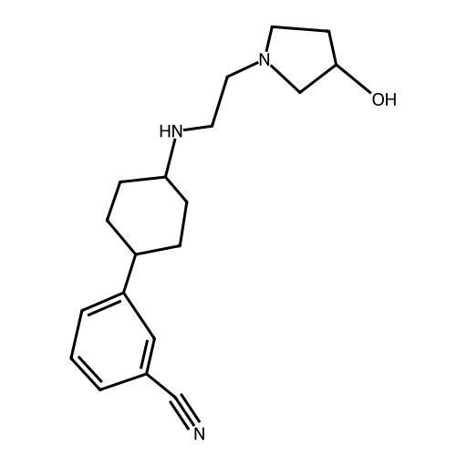 N#Cc1cccc(C2CCC(NCCN3CCC(O)C3)CC2)c1